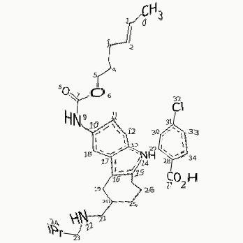 CC=CCCCOC(=O)Nc1ccc2[nH]c3c(c2c1)CC(CNCC(C)C)CC3.O=C(O)c1ccc(Cl)cc1